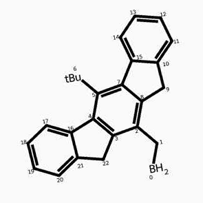 BCc1c2c(c(C(C)(C)C)c3c1Cc1ccccc1-3)-c1ccccc1C2